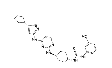 N#Cc1cccc(NC(=S)N[C@H]2CC[C@H](Nc3nccc(Nc4cc(C5CCCC5)[nH]n4)n3)CC2)c1